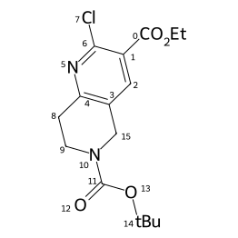 CCOC(=O)c1cc2c(nc1Cl)CCN(C(=O)OC(C)(C)C)C2